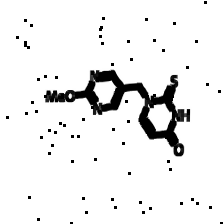 COc1ncc(Cn2ccc(=O)[nH]c2=S)cn1